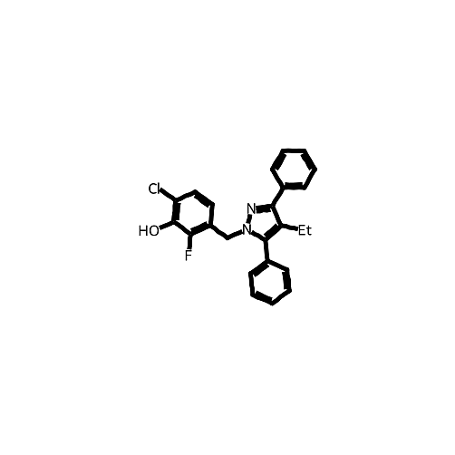 CCc1c(-c2ccccc2)nn(Cc2ccc(Cl)c(O)c2F)c1-c1ccccc1